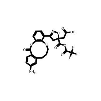 Nc1ccc2c(c1)CCCOc1c(cccc1C1=NOC(CC(=O)O)(C(=O)OC(=O)C(F)(F)F)C1)OC2=O